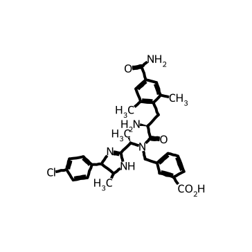 Cc1cc(C(N)=O)cc(C)c1C[C@H](N)C(=O)N(Cc1cccc(C(=O)O)c1)[C@@H](C)C1=NC(c2ccc(Cl)cc2)C(C)N1